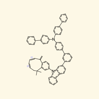 C=C1/C=C\C=C/CC(C)(C)c2cc(-n3c4ccccc4c4ccc(-c5cccc(-c6ccc(N(c7ccc(-c8ccccc8)cc7)c7ccc(-c8ccccc8)cc7)cc6)c5)cc43)ccc21